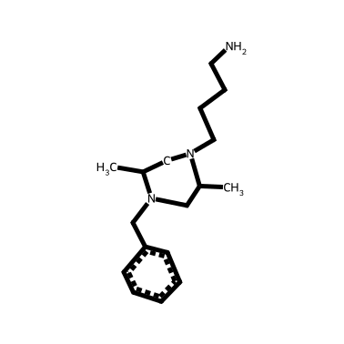 CC1CN(Cc2ccccc2)C(C)CN1CCCCN